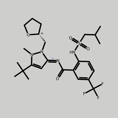 CC(C)CS(=O)(=O)Nc1ccc(C(F)(F)F)cc1C(=O)/N=c1\cc(C(C)(C)C)n(C)n1C[C@H]1CCCO1